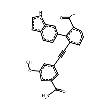 COc1cc(C#Cc2cccc(C(=O)O)c2-c2ccc3cc[nH]c3c2)cc(C(N)=O)c1